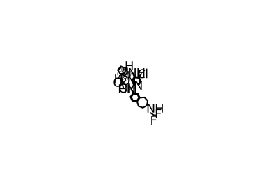 O=C(O)O[C@@H]1[C@H](Nc2nc(Nc3ccc4c(c3)CCC(NCC(F)F)CC4)ncc2Cl)[C@H]2C=C[C@@H]1C2